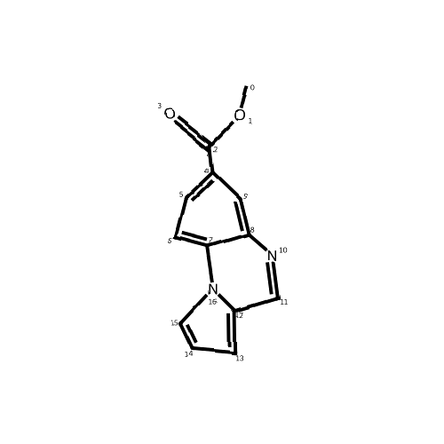 COC(=O)c1ccc2c(c1)ncc1cccn12